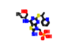 CC(C)CC(CO)Nc1nc(SC(C)c2ccccn2)nc2c1sc(=N)n2COP(=O)(O)O